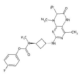 Cc1nc(N[C@H]2C[C@H](N(C)C(=O)Oc3ccc(F)cc3)C2)nc2c1NC(=O)C(C(C)C)N2C